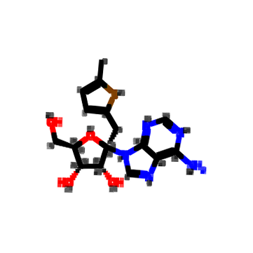 Cc1ccc(C[C@@]2(n3cnc4c(N)ncnc43)O[C@H](CO)[C@@H](O)[C@H]2O)s1